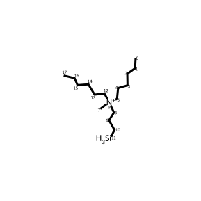 CCCCCC[N+](C)(CCC[SiH3])CCCCCC